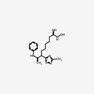 C=C(Nc1ccccc1)C(CCCCCC(=N)NO)c1nc(C)ns1